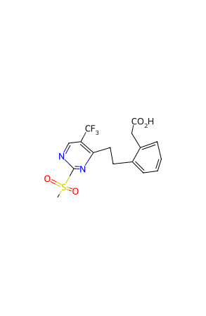 CS(=O)(=O)c1ncc(C(F)(F)F)c(CCc2ccccc2CC(=O)O)n1